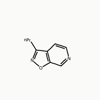 [CH2]CCc1noc2cnccc12